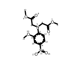 COC(=O)CN(CC(=O)OC)c1ccc([N+](=O)[O-])cc1OC